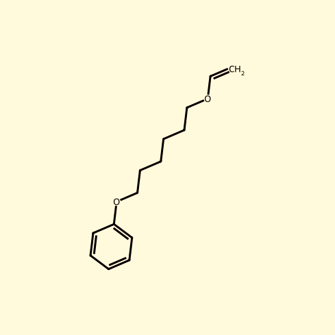 C=COCCCCCCOc1ccccc1